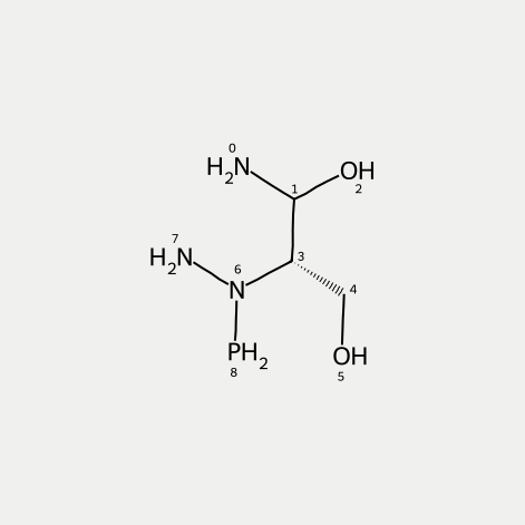 NC(O)[C@H](CO)N(N)P